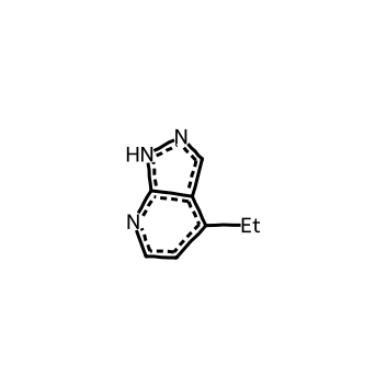 CCc1ccnc2[nH]ncc12